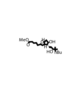 CCCCC(C)(C)[C@H](O)/C=C/[C@@H]1[C@H]2CC(CCCCC(=O)OC)O[C@@H]2C[C@H]1O